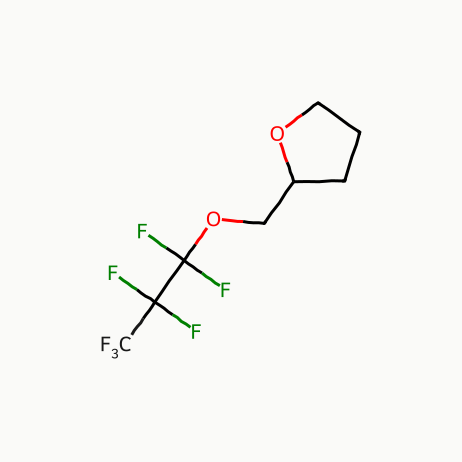 FC(F)(F)C(F)(F)C(F)(F)OCC1CCCO1